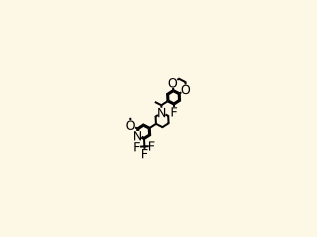 COc1cc(C2CCCN(C(C)c3cc4c(cc3F)OCCO4)C2)cc(C(F)(F)F)n1